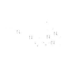 Cc1cccc(Cl)c1Nc1nc2ccccc2n1-c1cc(N2CCC(N3CCOCC3)CC2)ncn1